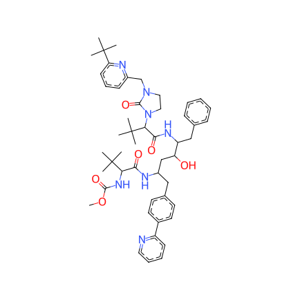 COC(=O)NC(C(=O)NC(Cc1ccc(-c2ccccn2)cc1)CC(O)C(Cc1ccccc1)NC(=O)C(N1CCN(Cc2cccc(C(C)(C)C)n2)C1=O)C(C)(C)C)C(C)(C)C